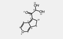 O=C(C1=C2C=COC=C2CC1)C(O)O